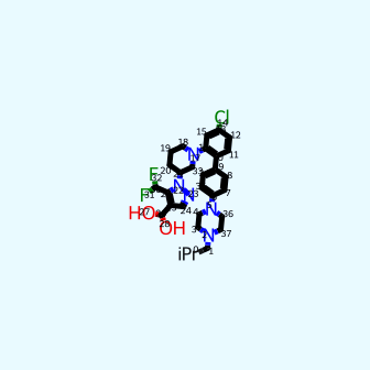 CC(C)CN1CCN(c2ccc(-c3ccc(Cl)cc3N3CCCC(n4ncc(C(O)O)c4C(F)F)C3)cc2)CC1